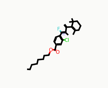 C=C(C1=C(C)CCCC1(C)C)/C(C)=C(\F)c1ccc(C(=O)OCCCCCCCC)cc1Cl